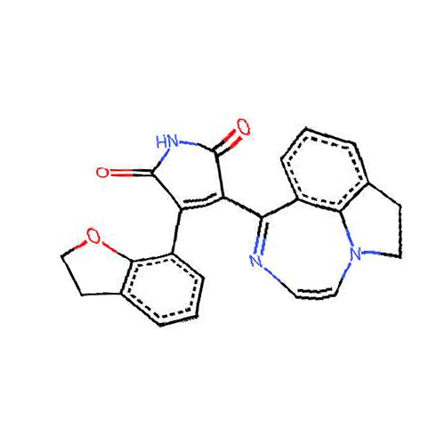 O=C1NC(=O)C(c2cccc3c2OCC3)=C1C1=NC=CN2CCc3cccc1c32